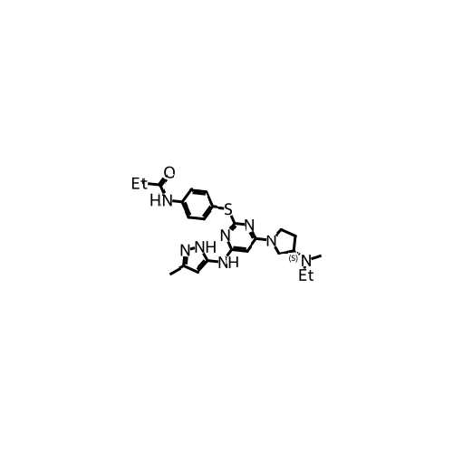 CCC(=O)Nc1ccc(Sc2nc(Nc3cc(C)n[nH]3)cc(N3CC[C@H](N(C)CC)C3)n2)cc1